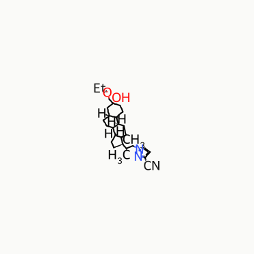 CCOC[C@@]1(O)CC[C@H]2[C@H](CC[C@@H]3[C@@H]2CC[C@]2(C)[C@@H]([C@@H](C)Cn4ccc(C#N)n4)CC[C@@H]32)C1